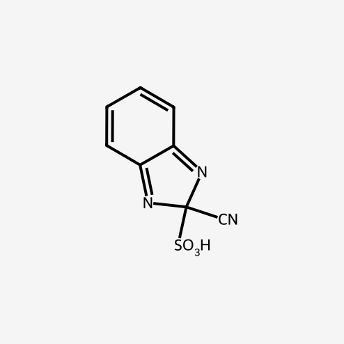 N#CC1(S(=O)(=O)O)N=c2ccccc2=N1